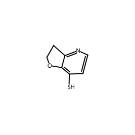 Sc1ccnc2c1OCC2